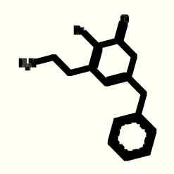 NCCC1=C(Br)C(=O)CC(Cc2ccccc2)=C1